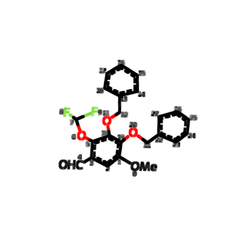 COc1cc(C=O)c(OC(F)F)c(OCc2ccccc2)c1OCc1ccccc1